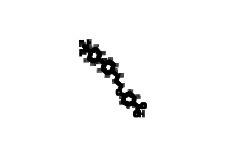 O=C(O)c1ccc(OCCCc2ccc(-c3ccc(C(F)(F)F)cc3)cc2)cc1